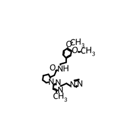 CCOc1cc(CCNC(=O)CC2CCCCN2c2cc(C)nc(CCn3ccnc3)n2)ccc1OC